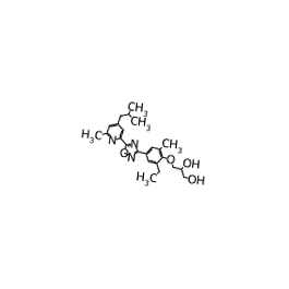 CCc1cc(-c2noc(-c3cc(CC(C)C)cc(C)n3)n2)cc(C)c1OCC(O)CO